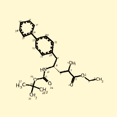 CCOC(=O)C(O)C[C@@H](Cc1ccc(-c2ccccc2)cc1)NC(=O)OC(C)(C)C